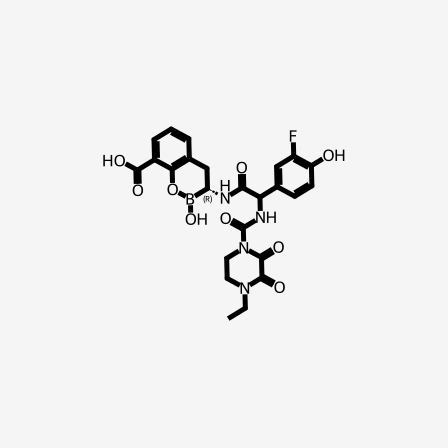 CCN1CCN(C(=O)NC(C(=O)N[C@H]2Cc3cccc(C(=O)O)c3OB2O)c2ccc(O)c(F)c2)C(=O)C1=O